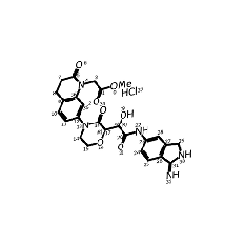 COC(=O)CN1C(=O)CCc2ccc(N3CCO[C@H]([C@@H](O)C(=O)Nc4ccc5c(c4)CNC5=N)C3=O)cc21.Cl